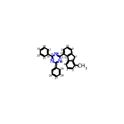 Cc1cccc2c1Cc1cccc(-c3nc(-c4ccccc4)nc(-c4ccccc4)n3)c1-2